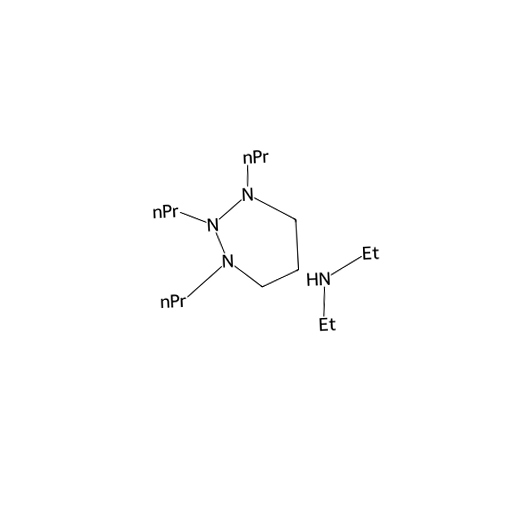 CCCN1CCCN(CCC)N1CCC.CCNCC